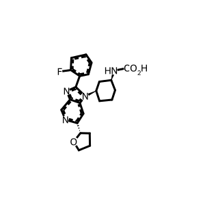 O=C(O)N[C@H]1CCC[C@@H](n2c(-c3ccccc3F)nc3cnc([C@@H]4CCCO4)cc32)C1